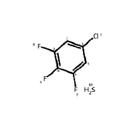 Fc1cc(Cl)cc(F)c1F.S